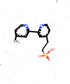 Cc1ccnc(-c2cc(CCP(=O)(O)O)ccn2)c1